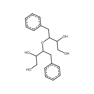 OCC(O)C(Cc1ccccc1)OC(Cc1ccccc1)C(O)CO